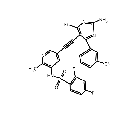 CCc1nc(N)nc(-c2cccc(C#N)c2)c1C#Cc1cnc(C)c(NS(=O)(=O)c2ccc(F)cc2F)c1